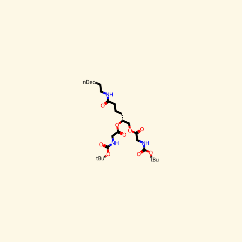 CCCCCCCCCCCCNC(=O)CCC[C@H](COC(=O)CNC(=O)OC(C)(C)C)OC(=O)CNC(=O)OC(C)(C)C